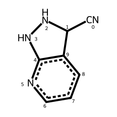 N#CC1NNc2ncccc21